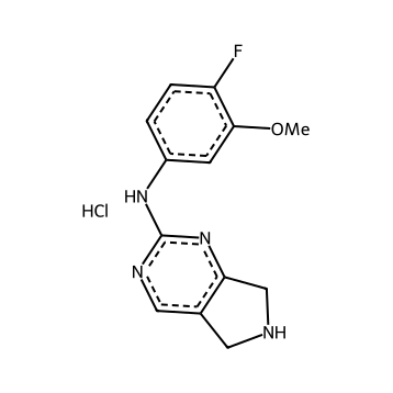 COc1cc(Nc2ncc3c(n2)CNC3)ccc1F.Cl